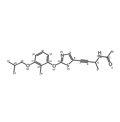 CC(=O)NC(C)C#Cc1cnc(Oc2cccc(OCC(C)C)c2C)s1